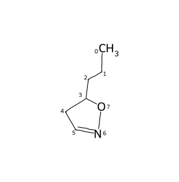 CCCC1CC=NO1